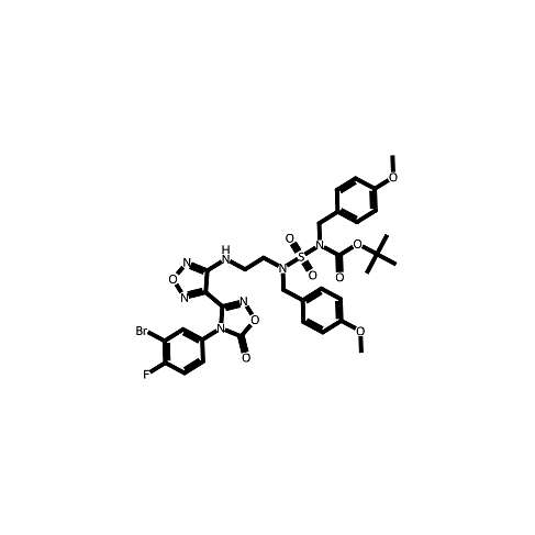 COc1ccc(CN(CCNc2nonc2-c2noc(=O)n2-c2ccc(F)c(Br)c2)S(=O)(=O)N(Cc2ccc(OC)cc2)C(=O)OC(C)(C)C)cc1